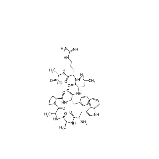 CC(C)C[C@H](NC(=O)[C@H](Cc1ccccc1)NC(=O)[C@@H]1CCCN1C(=O)[C@H](C)NC(=O)[C@H](C)NC(=O)[C@@H](N)Cc1c[nH]c2ccccc12)C(=O)N[C@@H](CCCNC(=N)N)C(=O)N[C@@H](C)C(=O)O